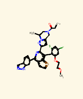 C=CC(=O)N1Cc2cc(-c3nc(-c4ccc5cn[nH]c5c4)c4ccsc4c3-c3c(F)cc(F)cc3OCCOC)nn2C(C)C1